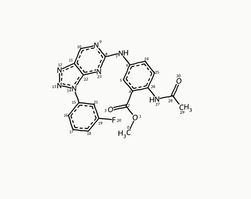 COC(=O)c1cc(Nc2ncc3nnn(-c4cccc(F)c4)c3n2)ccc1NC(C)=O